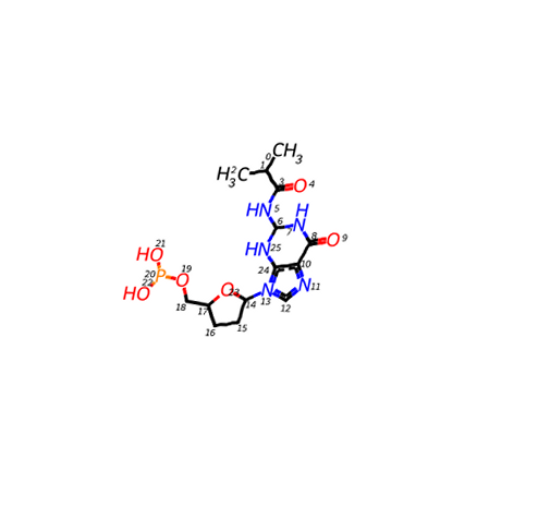 CC(C)C(=O)NC1NC(=O)c2ncn(C3CCC(COP(O)O)O3)c2N1